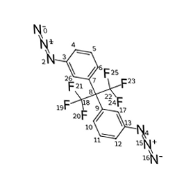 [N-]=[N+]=Nc1cccc(C(c2cccc(N=[N+]=[N-])c2)(C(F)(F)F)C(F)(F)F)c1